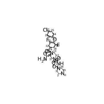 CN1CCN(C(=O)NS(=O)(=O)N2CCN([S+]([O-])c3cc(F)c(Oc4ccc(Cl)cc4)c(F)c3)[C@@H](C(N)=O)C2)CC1